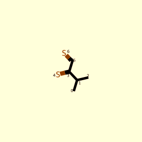 CC(C)C(=S)[C]=S